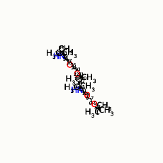 CC(C)(C)COCCCOCCNC(C)(C)CCC(C)(C)COCCCOCCCNC(C)(C)C